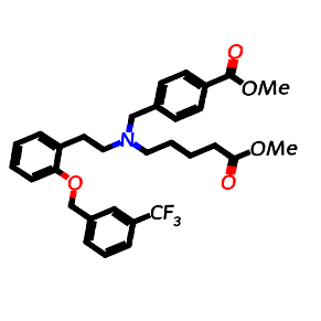 COC(=O)CCCCN(CCc1ccccc1OCc1cccc(C(F)(F)F)c1)Cc1ccc(C(=O)OC)cc1